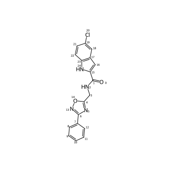 O=C(NCc1nc(-c2ccccc2)no1)c1cc2cc(Cl)ccc2[nH]1